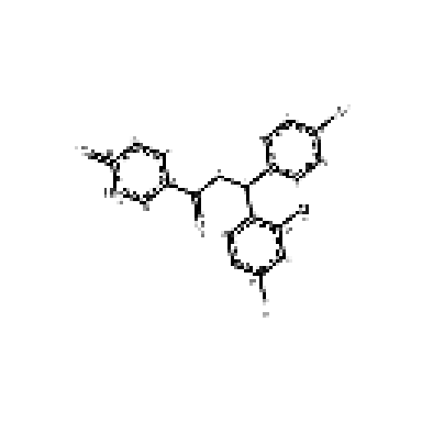 O=C(CC(c1ccc(Br)cc1)c1ccc(F)cc1Cl)c1ccc(=O)[nH]c1